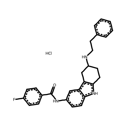 Cl.O=C(Nc1ccc2[nH]c3c(c2c1)CC(NCCc1ccccc1)CC3)c1ccc(F)cc1